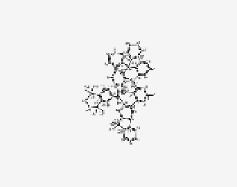 Cc1cc(-c2cc3c(cc2Nc2ccc4c(c2)C(C)(C)CCC4(C)C)C(C)(C)c2ccccc2-3)c2c(c1)N1c3ccccc3C(c3ccccc3)(c3ccccc3)c3cccc(c31)B2